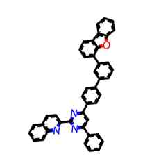 c1ccc(-c2cc(-c3ccc(-c4cccc(-c5cccc6c5oc5ccccc56)c4)cc3)nc(-c3ccc4ccccc4n3)n2)cc1